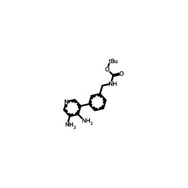 CC(C)(C)OC(=O)NCc1cccc(-c2cncc(N)c2N)c1